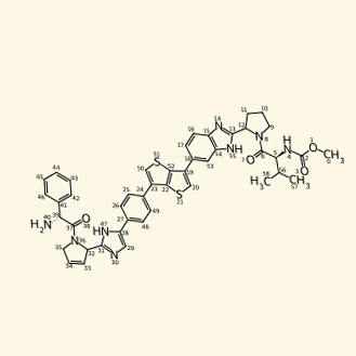 COC(=O)N[C@H](C(=O)N1CCCC1c1nc2ccc(-c3csc4c(-c5ccc(-c6cnc(C7C=CCN7C(=O)[C@H](N)c7ccccc7)[nH]6)cc5)csc34)cc2[nH]1)C(C)C